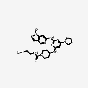 COCCNC(=O)N1CCC(Nc2cc(N3CCCC3)nc(Nc3cc4c(cn3)cnn4C(C)C)n2)CC1